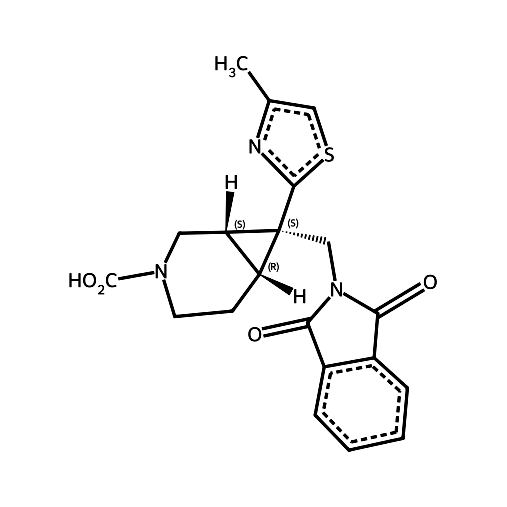 Cc1csc([C@@]2(CN3C(=O)c4ccccc4C3=O)[C@@H]3CCN(C(=O)O)C[C@@H]32)n1